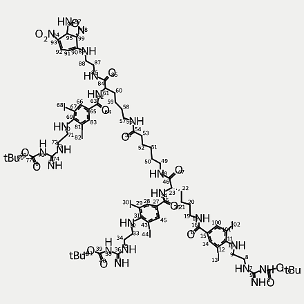 CC(C)(C)OC(=O)NC(=N)NCCNc1c(I)cc(C(=O)NCCCC[C@H](NC(=O)c2cc(I)c(NCCNC(=N)NC(=O)OC(C)(C)C)c(I)c2)C(=O)NCCCCCC(=O)NCCCCC(NC(=O)c2cc(I)c(NCCNC(=N)NC(=O)OC(C)(C)C)c(I)c2)C(=O)NCCNC2=CC=C([N+](=O)[O-])C3NON=C23)cc1I